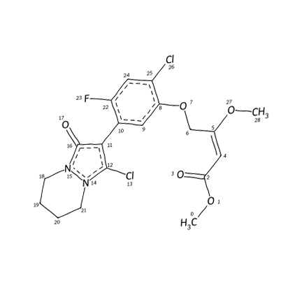 COC(=O)/C=C(\COc1cc(-c2c(Cl)n3n(c2=O)CCCC3)c(F)cc1Cl)OC